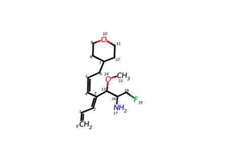 C=C/C=C(\C=C/CC1CCOCC1)C(OC)C(N)CF